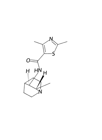 Cc1nc(C)c(C(=O)N[C@@H]2C3CCN(CC3)[C@H]2C)s1